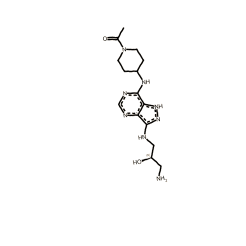 CC(=O)N1CCC(Nc2ncnc3c(NC[C@H](O)CN)n[nH]c23)CC1